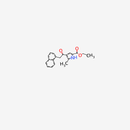 CCOC(=O)c1cc(C(=O)Cc2cccc3ccccc23)c(C)[nH]1